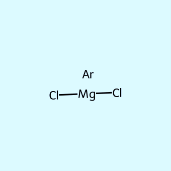 [Ar].[Cl][Mg][Cl]